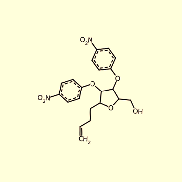 C=CCCC1OC(CO)C(Oc2ccc([N+](=O)[O-])cc2)C1Oc1ccc([N+](=O)[O-])cc1